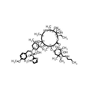 CCCNC[C@]1(O)[C@H](C)O[C@@H](O[C@H]2[C@H](C)[C@@H](O[C@@H]3O[C@H](C)C[C@H](N(Cc4ccc(OC)cc4)S(=O)(=O)c4nccn4C)[C@H]3O)[C@](C)(O)C[C@@H](C)CN[C@H](C)[C@@H](O)[C@](C)(O)[C@@H](CC)OC(=O)[C@@H]2C)C[C@@]1(C)OC